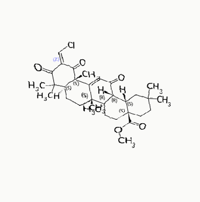 COC(=O)[C@]12CCC(C)(C)C[C@H]1[C@H]1C(=O)C=C3[C@@]4(C)C(=O)/C(=C\Cl)C(=O)C(C)(C)[C@@H]4CC[C@@]3(C)[C@]1(C)CC2